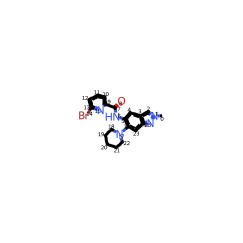 Cn1cc2cc(NC(=O)c3cccc(Br)n3)c(N3CCCCC3)cc2n1